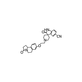 N#Cc1ccc2c(c1)C1(CCN(CCOc3ccc4c(c3)CCN3C(=O)CCC43)CC1)C(=O)N2